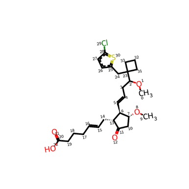 COC(CC=C[C@H]1[C@H](OC)CC(=O)[C@@H]1CC=CCCCC(=O)O)C1(Cc2ccc(Cl)s2)CCC1